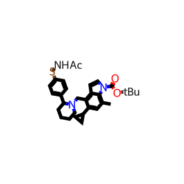 CC(=O)NSc1ccc(C2CCCCN2Cc2c(C3CC3)cc(C)c3c2ccn3C(=O)OC(C)(C)C)cc1